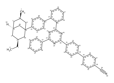 CC[C@H]1C[C@H]2C[C@@H](C)CC(c3ccc(-c4ccccc4-c4nc(-c5ccccc5)nc(-c5ccc(-c6ccc(C#N)cc6)cc5)n4)cc3)(C2)C1